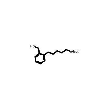 CCCCCCCCCCCCc1ccccc1CO